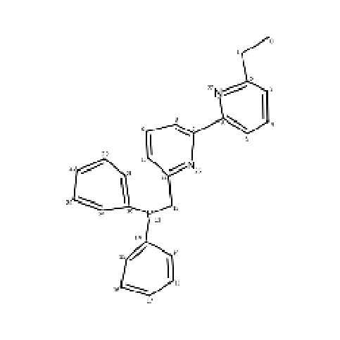 CCc1cccc(-c2cccc(CP(c3ccccc3)c3ccccc3)n2)n1